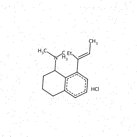 CC=C(CC)c1cccc2c1C(N(C)C)CCC2.Cl